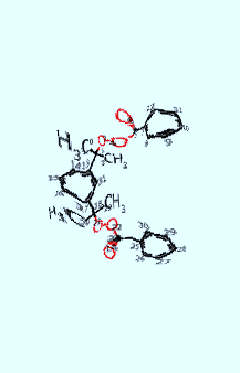 CC(C)(OOC(=O)c1ccccc1)c1cccc(C(C)(C)OOC(=O)c2ccccc2)c1